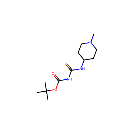 CN1CCC(NC(=S)NC(=O)OC(C)(C)C)CC1